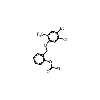 CCC(=O)Oc1ccccc1COc1cc(Cl)c(CC)cc1C(F)(F)F